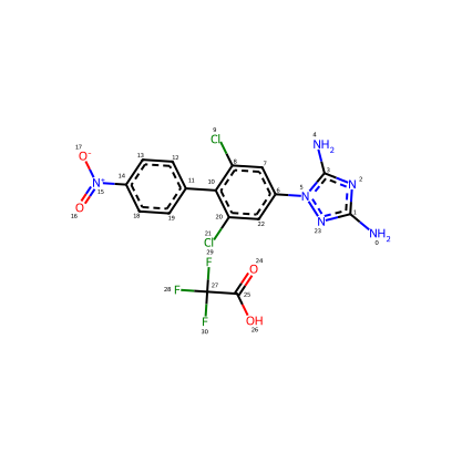 Nc1nc(N)n(-c2cc(Cl)c(-c3ccc([N+](=O)[O-])cc3)c(Cl)c2)n1.O=C(O)C(F)(F)F